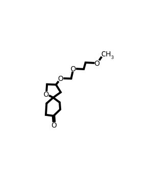 COCCOCOC1COC2(CCC(=O)CC2)C1